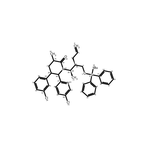 C=CC[C@@H](CO[Si](c1ccccc1)(c1ccccc1)C(C)(C)C)[C@@H](C)N1C(=O)C(C)CC(c2cccc(Cl)c2)C1c1ccc(Cl)cn1